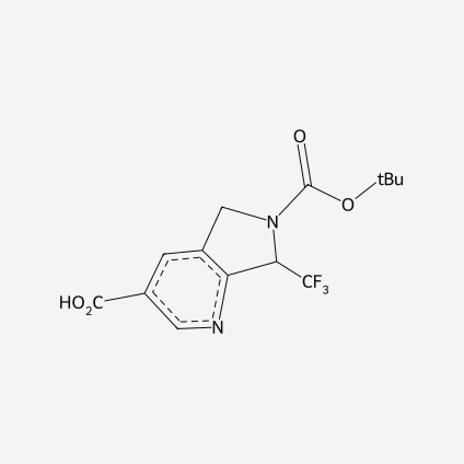 CC(C)(C)OC(=O)N1Cc2cc(C(=O)O)cnc2C1C(F)(F)F